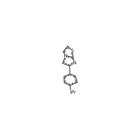 CC(C)c1ccc(-c2cn3ccsc3n2)cc1